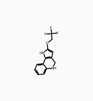 FC(F)(F)COc1cc2c([nH]1)-c1ccccc1NC2